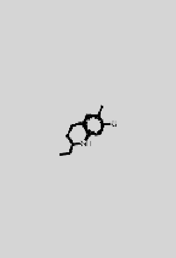 CCC1CCc2cc(C)c(Cl)cc2N1